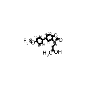 C[C@H](O)CCn1c(=O)oc2ccc(-c3ccc(OC(F)(F)F)cc3)cc21